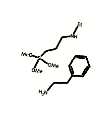 CCNCCC[Si](OC)(OC)OC.NCCc1ccccc1